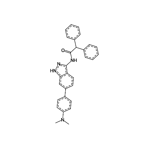 CN(C)c1ccc(-c2ccc3c(NC(=O)C(c4ccccc4)c4ccccc4)n[nH]c3c2)cc1